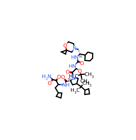 CC(C)(C)OC(NC(=O)N[C@H](CN1CCOC2(CC2)C1)C1CCCCC1)C(=O)N1CC(C(C)(C)C2CCC2)C[C@H]1C(=O)NC(CC1CCC1)C(=O)C(N)=O